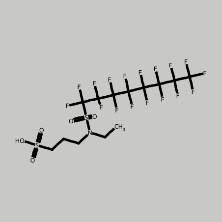 CCN(CCCS(=O)(=O)O)S(=O)(=O)C(F)(F)C(F)(F)C(F)(F)C(F)(F)C(F)(F)C(F)(F)C(F)(F)C(F)(F)F